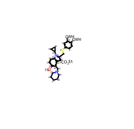 CCOC(=O)c1c(CSc2ccc(OC)c(OC)c2)n(C2CC2)c2ccc(O)c(CN3CCCCC3)c12